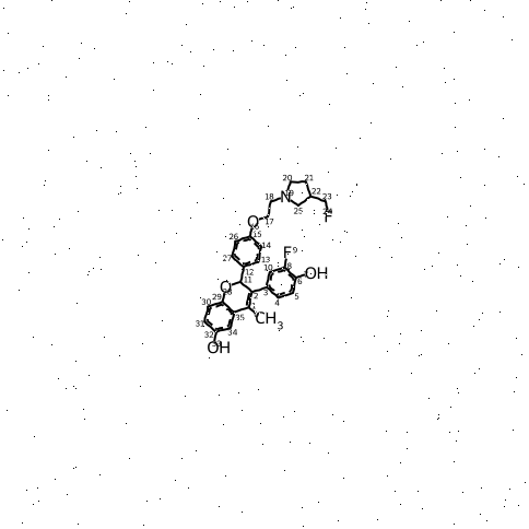 CC1=C(c2ccc(O)c(F)c2)C(c2ccc(OCCN3CCC(CF)C3)cc2)Oc2ccc(O)cc21